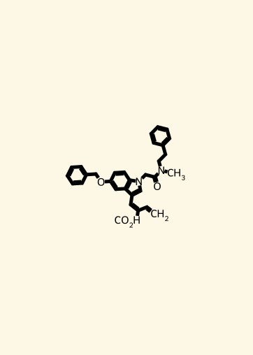 C=CC(=Cc1cn(CC(=O)N(C)CCc2ccccc2)c2ccc(OCc3ccccc3)cc12)C(=O)O